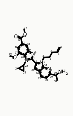 C=CCCCn1c(-c2nc3cc(C(=O)OC)cc(OC)c3n2C2CC2)cc2ccc(C(C)N)nc21